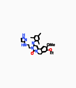 CCOc1cc2c(cc1OC)-c1c/c(=N\c3c(C)cc(C)cc3C)n(CCNc3cc[nH]n3)c(=O)n1CC2